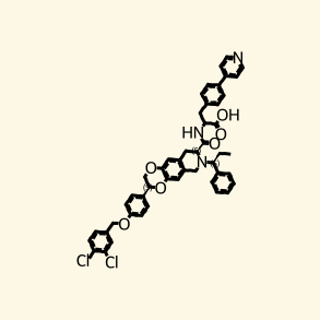 CC[C@@H](c1ccccc1)N1Cc2cc3c(cc2C[C@H]1C(=O)NC(Cc1ccc(-c2ccncc2)cc1)C(=O)O)OC[C@H](c1ccc(OCc2ccc(Cl)c(Cl)c2)cc1)O3